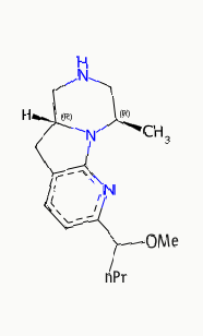 CCCC(OC)c1ccc2c(n1)N1[C@@H](CNC[C@H]1C)C2